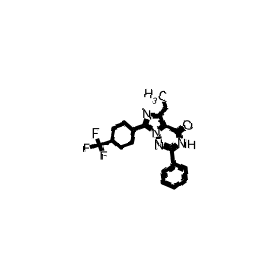 CCc1nc(C2CCC(C(F)(F)F)CC2)n2nc(-c3ccccc3)[nH]c(=O)c12